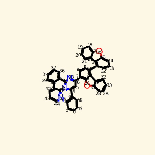 c1ccc(-c2cc(-c3ccc(-c4cccc5oc6ccccc6c45)c4c3oc3ccccc34)nc(-c3ccccc3-c3cccnc3)n2)cc1